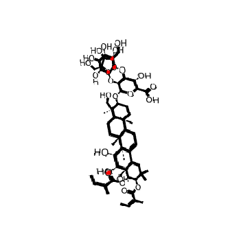 C/C=C(/C)C(=O)O[C@H]1[C@H](OC(=O)/C(C)=C\C)[C@@]2(CO)C(CC1(C)C)C1=CCC3[C@@]4(C)CC[C@H](O[C@@H]5OC(C(=O)O)[C@@H](O)C(O[C@@H]6O[C@@H](CO)C(O)[C@@H]6O)[C@@H]5O[C@@H]5OC(CO)[C@@H](O)C(O)[C@@H]5O)[C@](C)(CO)C4CC[C@@]3(C)[C@]1(C)[C@@H](O)[C@H]2O